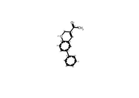 CC(=O)C1=Cc2cc(-c3ccccc3)ccc2OC1